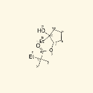 CCC(C)(C)C(=O)OC1CCCC1(O)CC